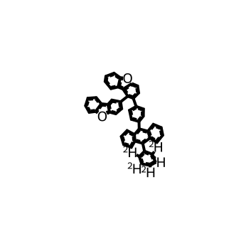 [2H]c1c([2H])c([2H])c(-c2c3ccccc3c(-c3ccc(-c4ccc5oc6ccccc6c5c4-c4ccc5oc6ccccc6c5c4)cc3)c3ccccc23)c([2H])c1[2H]